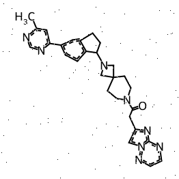 Cc1cc(-c2ccc3c(c2)CCC3N2CC3(CCN(C(=O)Cc4cn5nccnc5n4)CC3)C2)ncn1